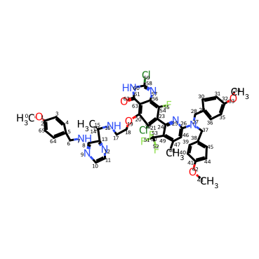 COc1ccc(CNc2nccnc2[C@H](C)NCCOc2c(Cl)c(-c3nc(N(Cc4ccc(OC)cc4)Cc4ccc(OC)cc4)cc(C)c3C(F)(F)F)c(F)c3nc(Cl)[nH]c(=O)c23)cc1